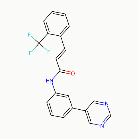 O=C(/C=C/c1ccccc1C(F)(F)F)Nc1cccc(-c2cncnc2)c1